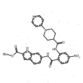 CC(C)(C)OC(=O)c1cc2ccc(NC(=O)c3ccc([N+](=O)[O-])cc3NC(=O)C3CCN(c4ccncc4)CC3)cc2[nH]1